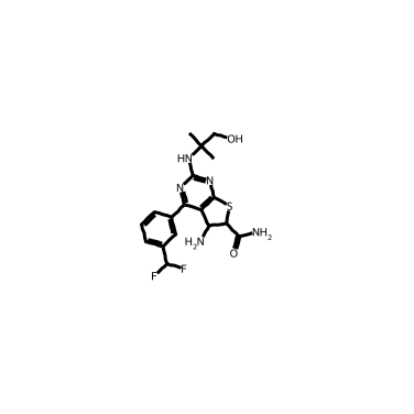 CC(C)(CO)Nc1nc2c(c(-c3cccc(C(F)F)c3)n1)C(N)C(C(N)=O)S2